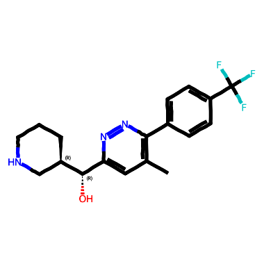 Cc1cc([C@H](O)[C@@H]2CCCNC2)nnc1-c1ccc(C(F)(F)F)cc1